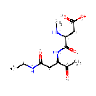 CCNC(=O)CC(NC(=O)C(CC(=O)O)NC)C(C)=O